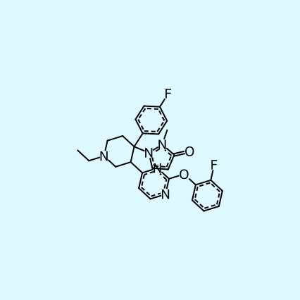 CCN1CCC(c2ccc(F)cc2)(n2ccc(=O)n2C)C(c2ccnc(Oc3ccccc3F)n2)C1